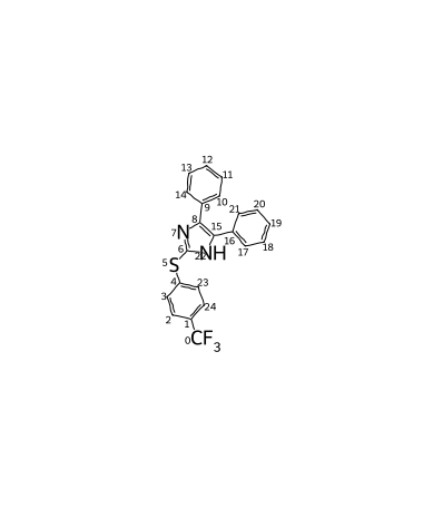 FC(F)(F)c1ccc(Sc2nc(-c3ccccc3)c(-c3ccccc3)[nH]2)cc1